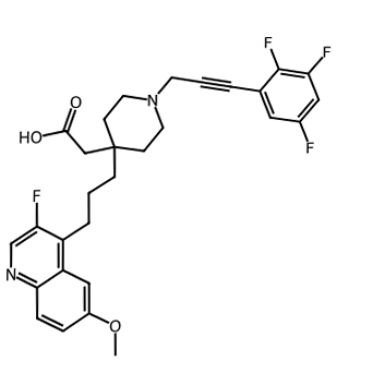 COc1ccc2ncc(F)c(CCCC3(CC(=O)O)CCN(CC#Cc4cc(F)cc(F)c4F)CC3)c2c1